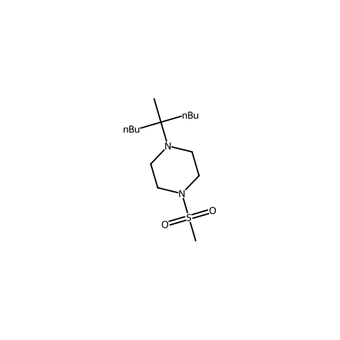 CCCCC(C)(CCCC)N1CCN(S(C)(=O)=O)CC1